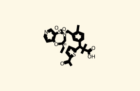 CC[C@@H]1CN(Cc2cc(C(c3ccc(C(C)=O)s3)C(C)(C)C(=O)O)ccc2C)S(=O)(=O)c2cnccc2O1